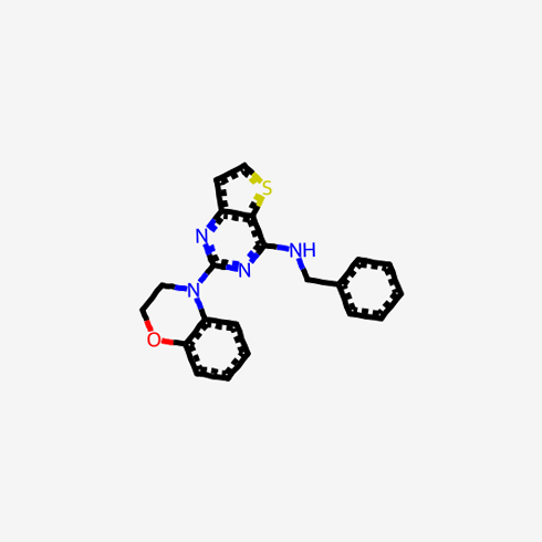 c1ccc(CNc2nc(N3CCOc4ccccc43)nc3ccsc23)cc1